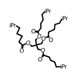 CC(C)CCCCC(=O)OCC(COC(=O)CCCCC(C)C)(COC(=O)CCCCC(C)C)COC(=O)CCCCC(C)C